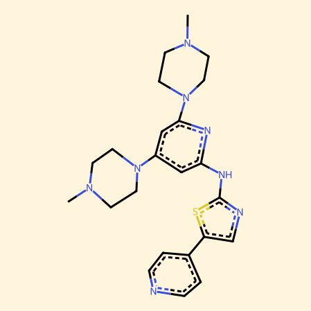 CN1CCN(c2cc(Nc3ncc(-c4ccncc4)s3)nc(N3CCN(C)CC3)c2)CC1